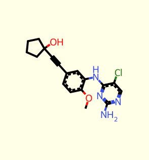 COc1ccc(C#CC2(O)CCCC2)cc1Nc1nc(N)ncc1Cl